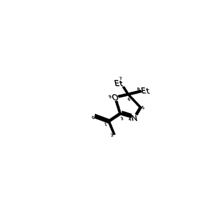 C=C(C)C1=NCC(CC)(CC)O1